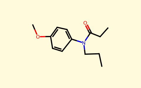 CCCN(C(=O)CC)c1ccc(OC)cc1